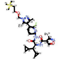 CCc1c(-c2ccc(NC(=O)C(NC(=O)c3conc3C(C)C)C(C3CC3)C3CC3)nc2F)c(C)nn1COCCS(C)(C)C